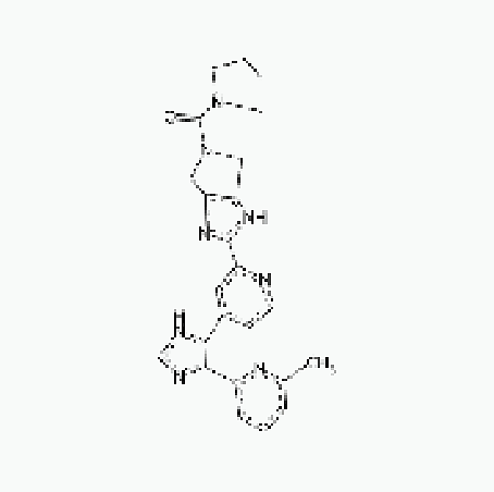 Cc1cccc(-c2nc[nH]c2-c2ccnc(-c3nc4c([nH]3)CN(C(=O)N3CCCC3)C4)c2)n1